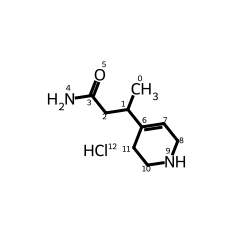 CC(CC(N)=O)C1=CCNCC1.Cl